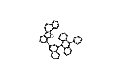 c1ccc(-c2c3ccccc3c(-c3cc(-c4cccc5c4oc4c6ccccc6ccc54)cc4ccccc34)c3ccccc23)cc1